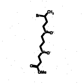 COC(=O)CC[S+]([O-])CCC[S+]([O-])CCC(C)Br